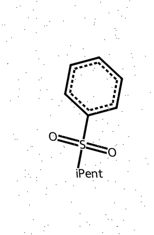 CCCC(C)S(=O)(=O)c1ccccc1